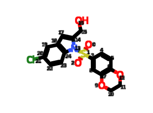 O=S(=O)(c1ccc2c(c1)OCCO2)n1c(CO)cc2cc(Cl)ccc21